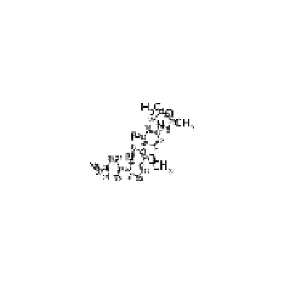 COc1c(-c2ccc(N3CC(C)OC(C)C3)cc2F)cnc2c(-c3ccc(C#N)cc3)cccc12